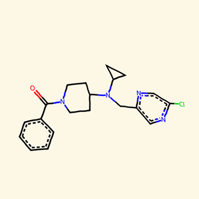 O=C(c1ccccc1)N1CCC(N(Cc2cnc(Cl)cn2)C2CC2)CC1